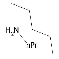 CCCCC.CCCN